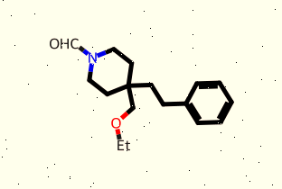 CCOCC1(CCc2ccccc2)CCN(C=O)CC1